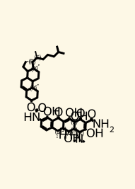 CC(C)CCC[C@H](C)[C@H]1CCC2C3CC=C4CC(OC(=O)Nc5ccc6c(c5O)C(=O)C5=C(O)[C@]7(O)C(=O)C(C(N)=O)=C(O)[C@H](N(C)C)[C@H]7[C@@H](O)[C@H]5[C@@H]6C)CC[C@]4(C)C3CC[C@@]21C